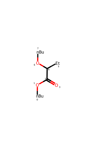 CCCCOC(=O)C(CC)OCCCC